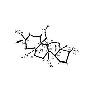 COC[C@]12CC[C@@](C)(O)C[C@@H]1CC[C@@H]1[C@@H]2CC[C@]2(C)C(O)CC[C@@H]12